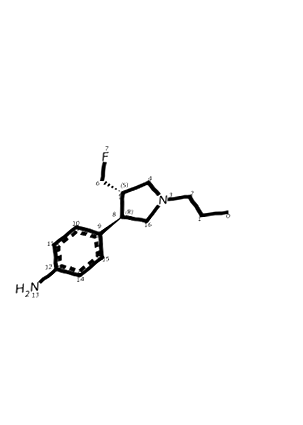 CCCN1C[C@@H](CF)[C@H](c2ccc(N)cc2)C1